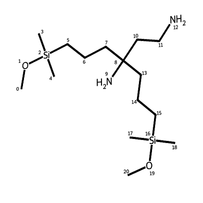 CO[Si](C)(C)CCCC(N)(CCN)CCC[Si](C)(C)OC